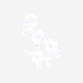 CC(c1ccc(Cl)cc1Cl)n1cnc2ccc(N3CCN(C(=O)[C@H]4CCCCN4)C[C@@H]3C)cc21